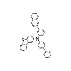 c1ccc(-c2ccc(N(c3cccc(-c4ccc5ccccc5c4)c3)c3ccc4sc5ccccc5c4c3)cc2)cc1